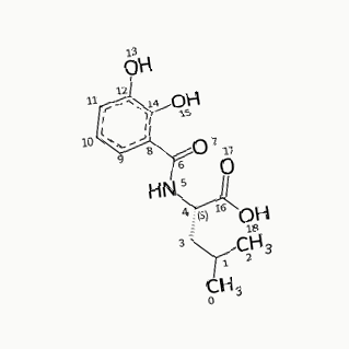 CC(C)C[C@H](NC(=O)c1cccc(O)c1O)C(=O)O